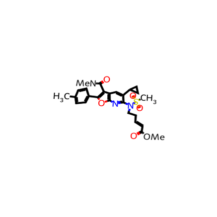 CNC(=O)c1c(-c2ccc(C)cc2)oc2nc(N(CCC=CC(=O)OC)S(C)(=O)=O)c(C3CC3)cc12